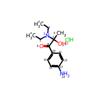 CCN(CC)C(C)(O)C(=O)c1ccc(N)cc1.Cl